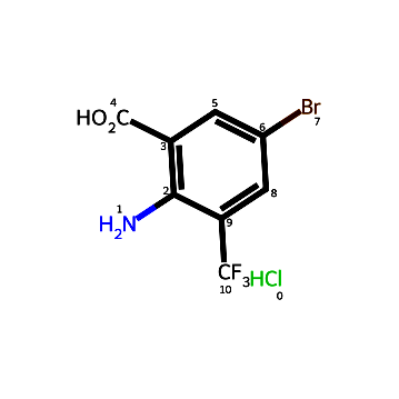 Cl.Nc1c(C(=O)O)cc(Br)cc1C(F)(F)F